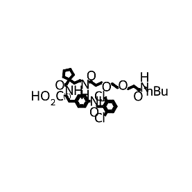 CCCCNC(=O)CCOCCOCCC(=O)NCCC1(C(=O)N[C@@H](Cc2ccc(NC(=O)c3c(Cl)cccc3Cl)cc2)C(=O)O)CCCC1